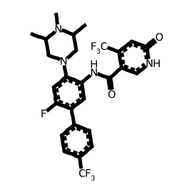 CC1CN(c2cc(F)c(-c3ccc(C(F)(F)F)cc3)cc2NC(=O)c2c[nH]c(=O)cc2C(F)(F)F)CC(C)N1C